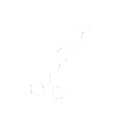 CNC(=O)COC[C@H](NC(=O)OCC1c2ccccc2-c2ccccc21)C(=O)O